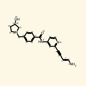 N/C=C/C#Cc1cc(NC(=O)c2ccc(CN3CC[C@@H](O)C3)cc2)ccn1